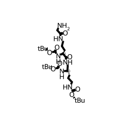 CC(C)(C)OC(=O)NCCC[C@@H](CNC(=O)[C@H](CCCNC(=O)CN)NC(=O)OC(C)(C)C)NC(=O)OC(C)(C)C